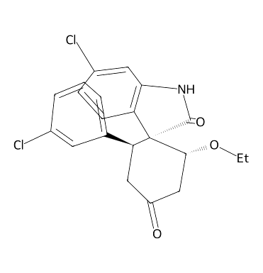 CCO[C@@H]1CC(=O)C[C@@H](c2cccc(Cl)c2)[C@]12C(=O)Nc1cc(Cl)ccc12